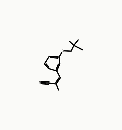 CC(C#N)=Cc1cccc(OCC(C)(C)C)c1